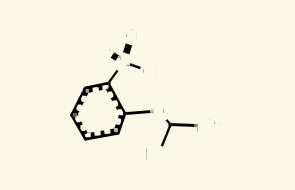 CCCC(CC)Oc1ccccc1S(=O)(=O)Cl